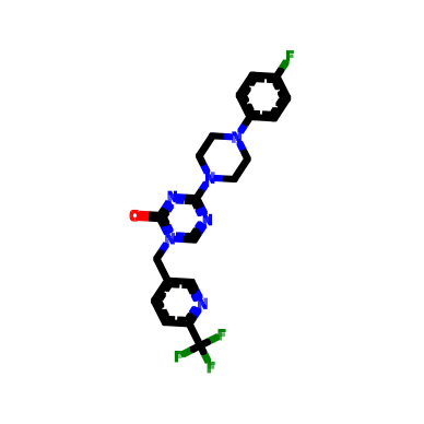 O=c1nc(N2CCN(c3ccc(F)cc3)CC2)ncn1Cc1ccc(C(F)(F)F)nc1